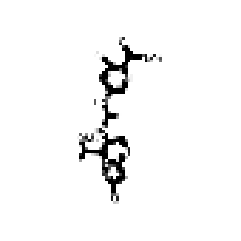 CNC(=O)c1ncc(NC(=O)Nc2cnc3cc(Cl)nn3c2C(C)OC)cc1Cl